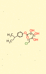 CCC(C)c1ccc(O[C@@H]2O[C@H](CCl)[C@@H](O)[C@H](O)[C@H]2O)cc1